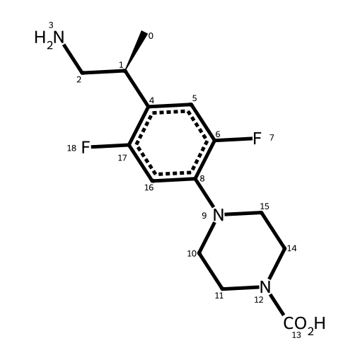 C[C@H](CN)c1cc(F)c(N2CCN(C(=O)O)CC2)cc1F